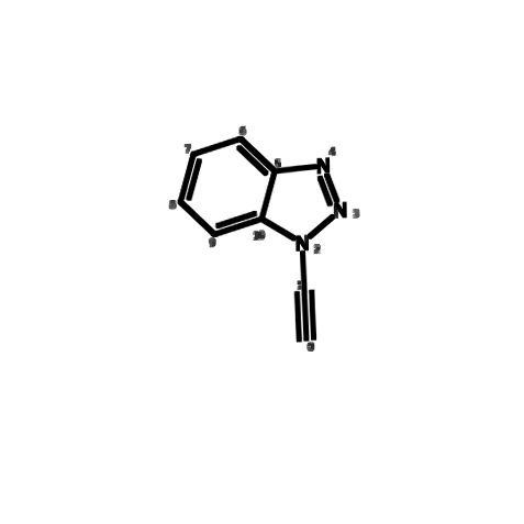 C#Cn1nnc2ccccc21